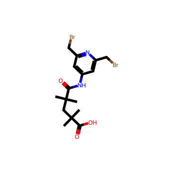 CC(C)(CC(C)(C)C(=O)Nc1cc(CBr)nc(CBr)c1)C(=O)O